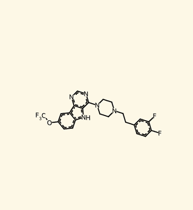 Fc1ccc(CCN2CCN(c3ncnc4c3[nH]c3ccc(OC(F)(F)F)cc34)CC2)cc1F